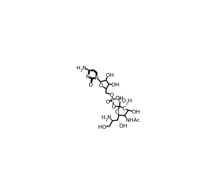 CC(=O)NC1C(O)CC(OP(=O)(O)OCC2OC(n3ccc(N)nc3=O)C(O)C2O)(C(=O)O)OC1[C@H](O)[C@H](N)CO